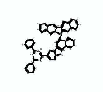 c1ccc(-c2nc(-c3ccccc3)nc(-c3ccc4oc5c6ccccc6c(-n6c7cc8ccccc8cc7c7cc8ccccc8cc76)cc5c4c3)n2)cc1